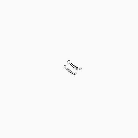 [O]=[Re].[O]=[Ru]